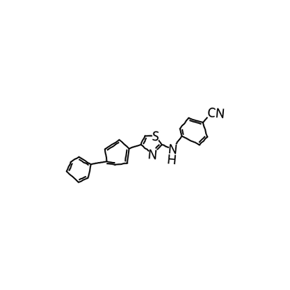 N#Cc1ccc(Nc2nc(-c3ccc(-c4ccccc4)cc3)cs2)cc1